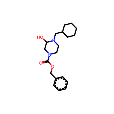 O=C(OCc1ccccc1)N1CCN(CC2CCCCC2)C(O)C1